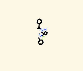 CN(Cc1ccccc1F)CC1(CN[C@H]2CC2c2ccccc2)CCC1